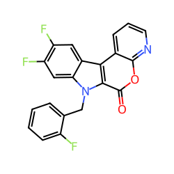 O=c1oc2ncccc2c2c3cc(F)c(F)cc3n(Cc3ccccc3F)c12